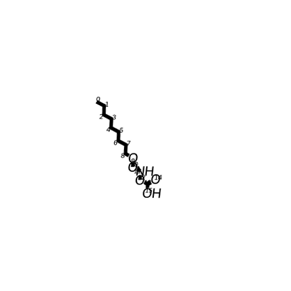 CCCCCCCCCOONOC(=O)O